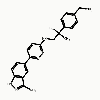 CC(C)(CNc1ccc(-c2ccc3[nH]nc(N)c3c2)nn1)c1ccc(CN)cc1